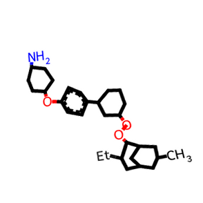 CCC1CC2CC(C)CC(C2)C1OOC1CCCC(c2ccc(OC3CCC(N)CC3)cc2)C1